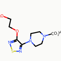 O=C(O)N1CCN(c2nsnc2OCCO)CC1